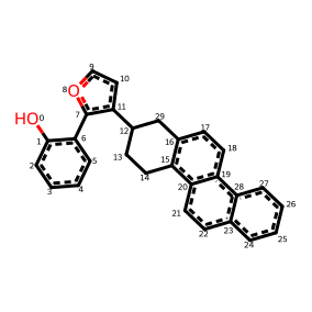 Oc1ccccc1-c1occc1C1CCc2c(ccc3c2ccc2ccccc23)C1